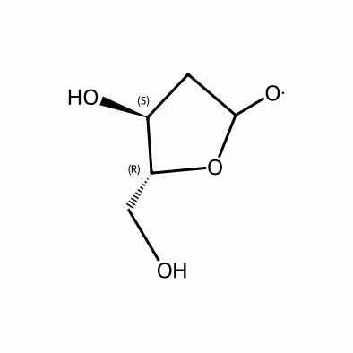 [O]C1C[C@H](O)[C@@H](CO)O1